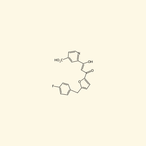 O=C(O)c1ccnc(C(O)=CC(=O)c2ccc(Cc3ccc(F)cc3)o2)c1